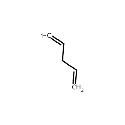 [CH]=CCC=C